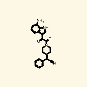 N#CC(=C1CCN(C(=O)C(=O)c2c[nH]c3c(N)cccc23)CC1)c1ccccc1